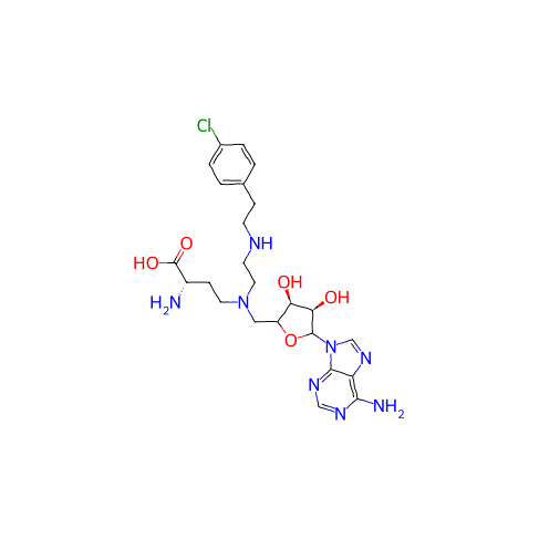 Nc1ncnc2c1ncn2C1OC(CN(CCNCCc2ccc(Cl)cc2)CC[C@H](N)C(=O)O)[C@@H](O)[C@H]1O